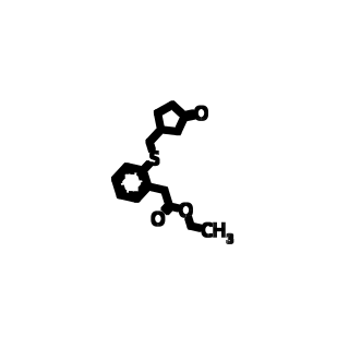 CCOC(=O)Cc1ccccc1SCC1CCC(=O)C1